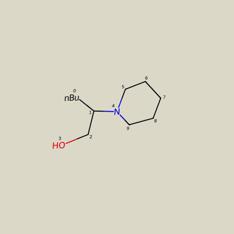 CCCCC(CO)N1CCCCC1